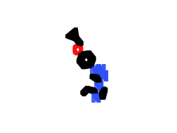 CCc1nccn1-c1cn(-c2ccc(OCC3CC3)cc2)nn1